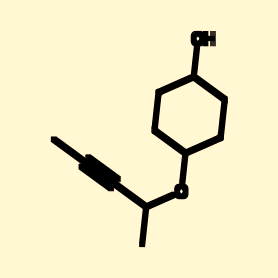 CC#CC(C)OC1CCC(O)CC1